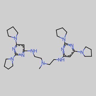 CN(CCNc1cc(N2CCCC2)nc(N2CCCC2)n1)CCNc1cc(N2CCCC2)nc(N2CCCC2)n1